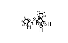 N=Cc1c(O)nc(SCc2ccccc2Cl)c2c1C1CCN2CC1